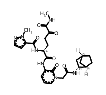 CNC(=O)C(=O)CC[C@H](NC(=O)c1ccnn1C)C(=O)Nc1cccn(CC(=O)N[C@@H]2C[C@H]3CC[C@@H]2C3)c1=O